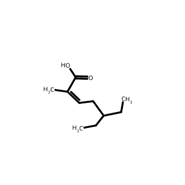 CCC(CC)CC=C(C)C(=O)O